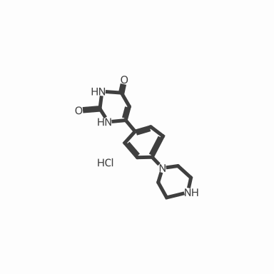 Cl.O=c1cc(-c2ccc(N3CCNCC3)cc2)[nH]c(=O)[nH]1